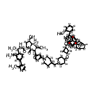 Cc1ncsc1-c1ccc([C@H](C)NC(=O)[C@@H]2C[C@@H](O)CN2C(=O)[C@H](c2cc(N3CCC(CN4CCC(O[C@H]5C[C@H](Oc6cc(N7C8CCC7CN(c7cc(-c9ccccc9O)nnc7N)C8)ccn6)C5)CC4)CC3)no2)C(C)C)c(N)c1